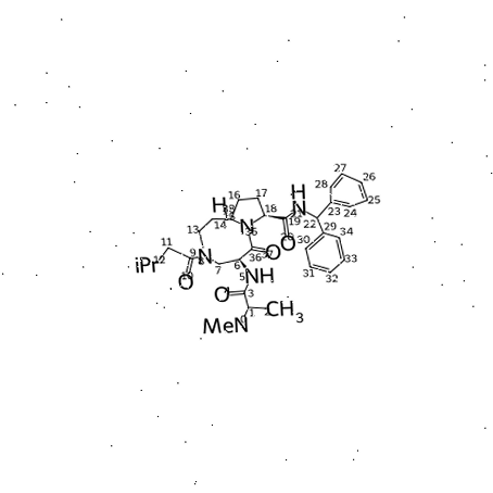 CNC(C)C(=O)N[C@H]1CN(C(=O)CC(C)C)CC[C@H]2CC[C@@H](C(=O)NC(c3ccccc3)c3ccccc3)N2C1=O